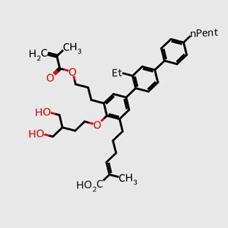 C=C(C)C(=O)OCCCc1cc(-c2ccc(-c3ccc(CCCCC)cc3)cc2CC)cc(CCCC=C(C)C(=O)O)c1OCCC(CO)CO